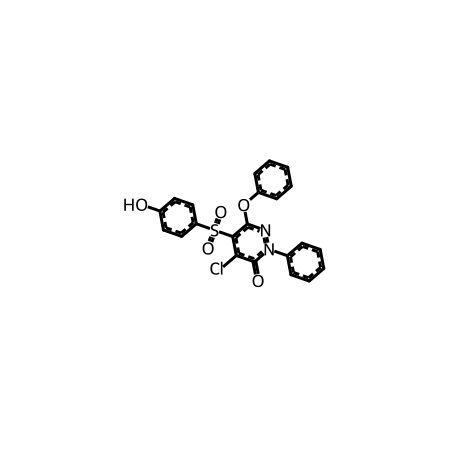 O=c1c(Cl)c(S(=O)(=O)c2ccc(O)cc2)c(Oc2ccccc2)nn1-c1ccccc1